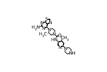 Cc1cc(N2CCNCC2)ncc1NC(=O)N1CCN(c2nc(N)nc3scnc23)[C@@H](C)C1